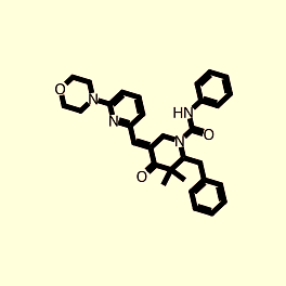 CC1(C)C(=O)C(=Cc2cccc(N3CCOCC3)n2)CN(C(=O)Nc2ccccc2)C1Cc1ccccc1